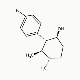 C[C@H]1[C@H](c2ccc(F)cc2)[C@@H](O)CC[C@@H]1C